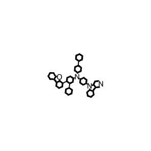 c1ccc(-c2ccc(N(c3ccc(-n4c5ccccc5c5cnccc54)cc3)c3ccc(-c4cccc5c4oc4ccccc45)c(-c4ccccc4)c3)cc2)cc1